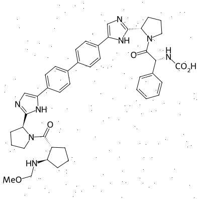 COCN[C@@H]1CCC[C@H]1C(=O)N1CCC[C@H]1c1ncc(-c2ccc(-c3ccc(-c4cnc([C@@H]5CCCN5C(=O)[C@H](NC(=O)O)c5ccccc5)[nH]4)cc3)cc2)[nH]1